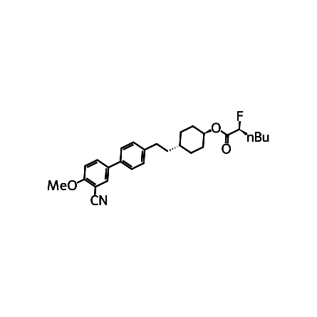 CCCC[C@H](F)C(=O)O[C@H]1CC[C@H](CCc2ccc(-c3ccc(OC)c(C#N)c3)cc2)CC1